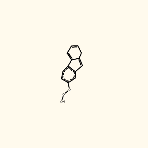 OOOc1ccc2c(c1)C=C1CC=CC=C12